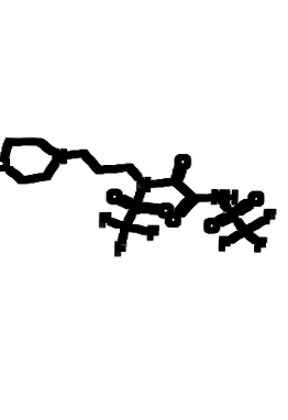 O=C(NS(=O)(=O)C(F)(F)F)C(=O)N(CCCN1CCOCC1)S(=O)(=O)C(F)(F)F